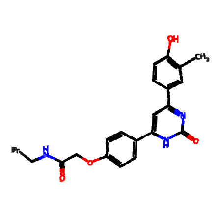 Cc1cc(-c2cc(-c3ccc(OCC(=O)NCC(C)C)cc3)[nH]c(=O)n2)ccc1O